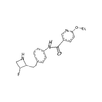 CCOc1ccc(C(=O)Nc2ccc(CC3NCC3F)cc2)cn1